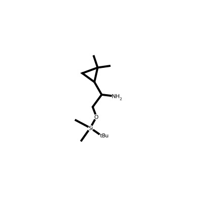 CC1(C)CC1C(N)CO[Si](C)(C)C(C)(C)C